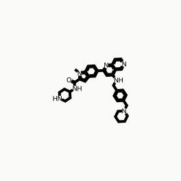 Cn1c(C(=O)NC2CCNCC2)cc2cc(-c3cc(NCc4ccc(CN5CCCCC5)cc4)c4cnccc4n3)ccc21